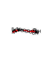 Cn1c2ccncc2c2ccc(-c3ccc(OCCOCCOCCOCCOCCOc4ccc5c(c4)C(O)N(C4CCC(=O)NC4=O)C5=O)nc3C(F)(F)F)cc21